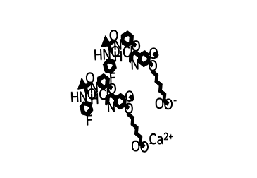 COc1cc2c(Oc3cccc(NC(=O)C4(C(=O)Nc5ccc(F)cc5)CC4)c3Cl)ccnc2cc1OCCCCCCC(=O)[O-].COc1cc2c(Oc3cccc(NC(=O)C4(C(=O)Nc5ccc(F)cc5)CC4)c3Cl)ccnc2cc1OCCCCCCC(=O)[O-].[Ca+2]